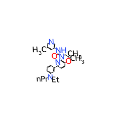 CCCN(CC)c1cccc(-c2ccc3c(n2)N(C(=O)Nc2cncc(C)c2)CC(C)(C)O3)c1